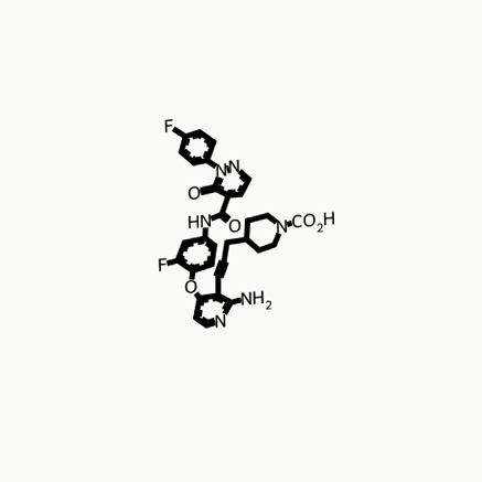 Nc1nccc(Oc2ccc(NC(=O)c3ccnn(-c4ccc(F)cc4)c3=O)cc2F)c1C#CCC1CCN(C(=O)O)CC1